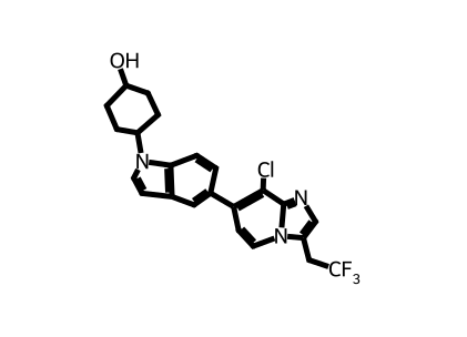 OC1CCC(n2ccc3cc(-c4ccn5c(CC(F)(F)F)cnc5c4Cl)ccc32)CC1